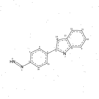 N=Nc1ccc(-c2nc3ccccc3s2)cc1